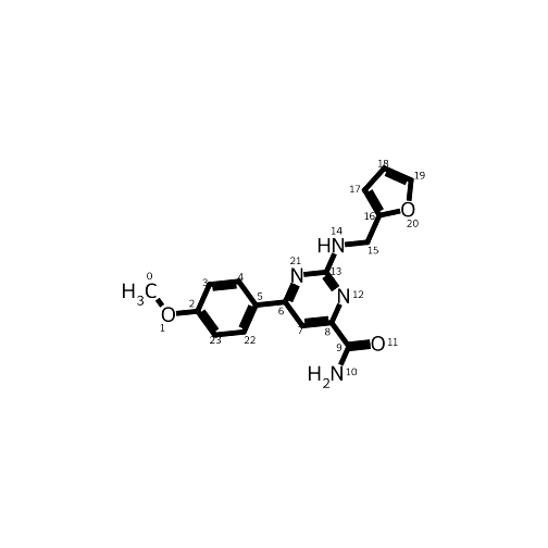 COc1ccc(-c2cc(C(N)=O)nc(NCc3ccco3)n2)cc1